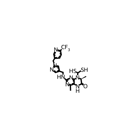 Cc1nc(NCc2cnn(Cc3ccc(C(F)(F)F)nc3)c2)nc2c1NC(=O)[C@H](C)N2C(S)S